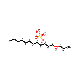 CCCCCCCCCCCCOC[CH2][Na].O=S(=O)(O)O